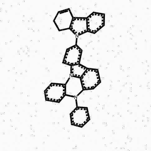 C1=Cc2c(n(-c3ccc4c(c3)c3cccc5c3n4-c3ccccc3N5c3ccccc3)c3ccccc23)CC1